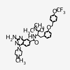 CN1CCN(c2nc(N)nc3cc(C(=O)NC(Cc4cccc(OCc5ccc(OC(F)(F)F)cc5)c4)C(=O)N(C)C)ccc23)CC1